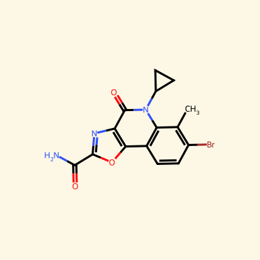 Cc1c(Br)ccc2c3oc(C(N)=O)nc3c(=O)n(C3CC3)c12